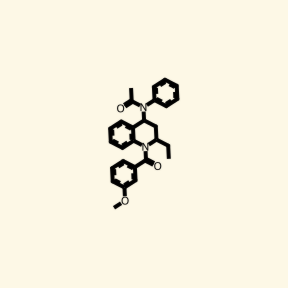 CCC1CC(N(C(C)=O)c2ccccc2)c2ccccc2N1C(=O)c1cccc(OC)c1